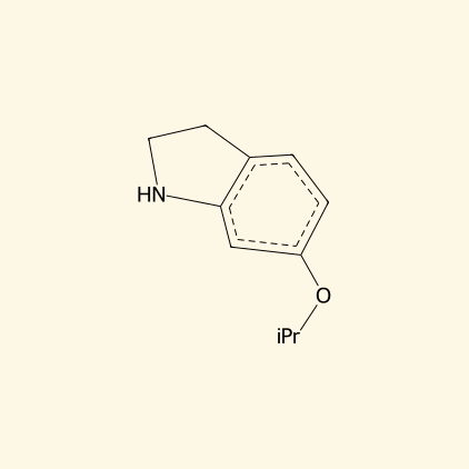 CC(C)Oc1ccc2c(c1)NCC2